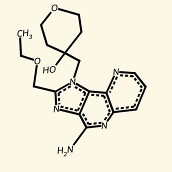 CCOCc1nc2c(N)nc3cccnc3c2n1CC1(O)CCOCC1